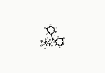 F[P-](F)(F)(F)(F)F.c1ccc([I+]c2ccccc2)cc1